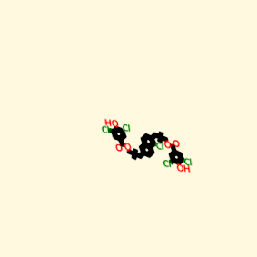 CC(C)(COC(=O)c1cc(Cl)c(O)c(Cl)c1)Cc1ccc2c(Cl)c(CC(C)(C)COC(=O)c3cc(Cl)c(O)c(Cl)c3)ccc2c1